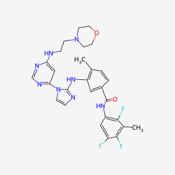 Cc1ccc(C(=O)Nc2cc(F)c(F)c(C)c2F)cc1Nc1nccn1-c1cc(NCCN2CCOCC2)ncn1